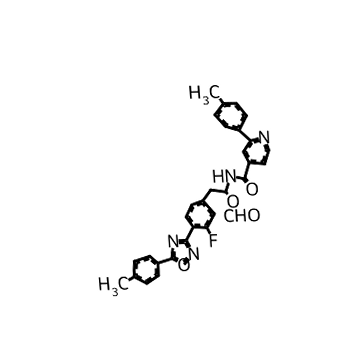 Cc1ccc(-c2cc(C(=O)NC(Cc3ccc(-c4noc(-c5ccc(C)cc5)n4)c(F)c3)OC=O)ccn2)cc1